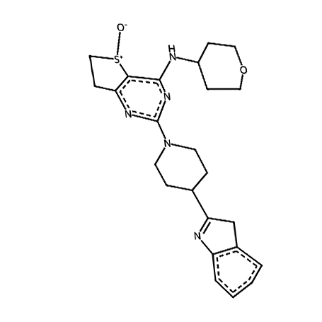 [O-][S+]1CCc2nc(N3CCC(C4=Nc5ccccc5C4)CC3)nc(NC3CCOCC3)c21